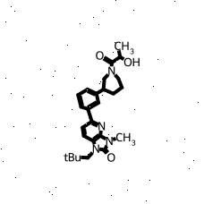 CC(O)C(=O)N1CCCC(c2cccc(-c3ccc4c(n3)n(C)c(=O)n4CC(C)(C)C)c2)C1